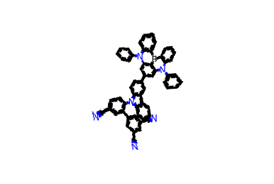 N#Cc1cc(C#N)cc(-c2cc(C#N)ccc2-n2c3ccccc3c3cc(-c4cc5c6c(c4)N(c4ccccc4)c4ccccc4B6c4ccccc4N5c4ccccc4)ccc32)c1